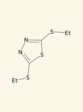 CCSc1nnc(SCC)s1